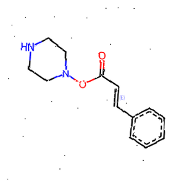 O=C(/C=C/c1ccccc1)ON1CCNCC1